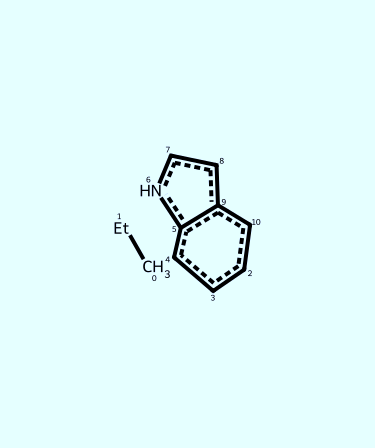 CCC.c1ccc2[nH]ccc2c1